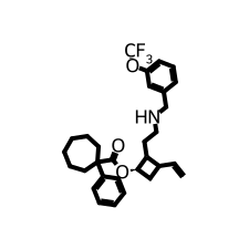 C=CC1C[C@H](OC(=O)C2(c3ccccc3)CCCCCC2)C1CCNCc1cccc(OC(F)(F)F)c1